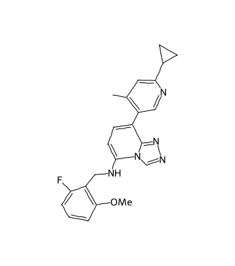 COc1cccc(F)c1CNc1ccc(-c2cnc(C3CC3)cc2C)c2nncn12